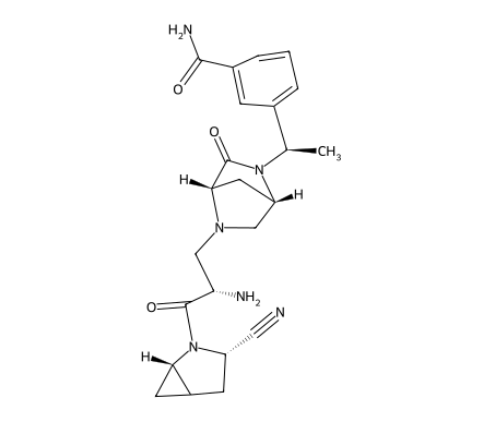 C[C@H](c1cccc(C(N)=O)c1)N1C(=O)[C@@H]2C[C@H]1CN2C[C@H](N)C(=O)N1[C@H](C#N)CC2C[C@@H]21